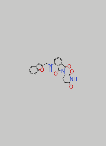 O=C1CCC(N2C(=O)c3cccc(NCc4cc5ccccc5o4)c3C2=O)C(=O)N1